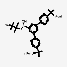 CCCCCC(C)(C)c1ccc(-c2cc(B(O)OC(C)(C)C(C)(C)O)cc(-c3ccc(C(C)(C)CCCCC)cc3)c2)cc1